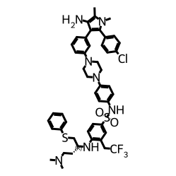 Cc1c(N)c(-c2cccc(N3CCN(c4ccc(NS(=O)(=O)c5ccc(N[C@H](CCN(C)C)CSc6ccccc6)c(CC(F)(F)F)c5)cc4)CC3)c2)c(-c2ccc(Cl)cc2)n1C